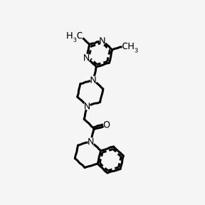 Cc1cc(N2CCN(CC(=O)N3CCCc4ccccc43)CC2)nc(C)n1